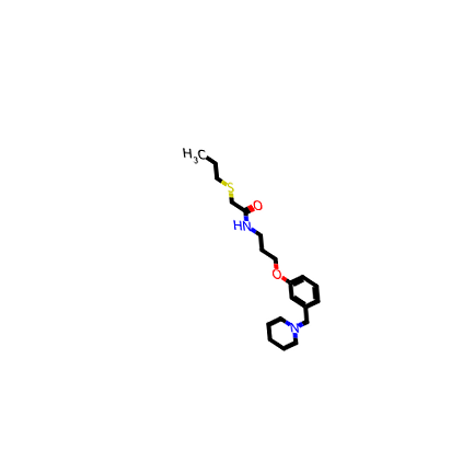 CCCSCC(=O)NCCCOc1cccc(CN2CCCCC2)c1